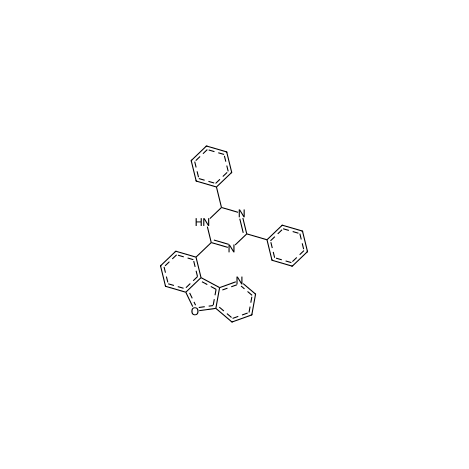 c1ccc(C2=NC(c3ccccc3)NC(c3cccc4oc5cccnc5c34)=N2)cc1